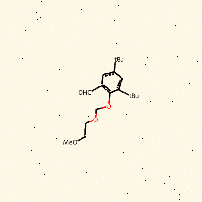 COCCOCOc1c(C=O)cc(C(C)(C)C)cc1C(C)(C)C